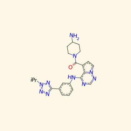 CC(C)n1nnc(-c2cccc(Nc3ncnn4ccc(C(=O)N5CCC(N)CC5)c34)c2)n1